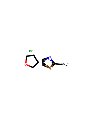 C1CCOC1.[Br-].[Mg+][c]1nccs1